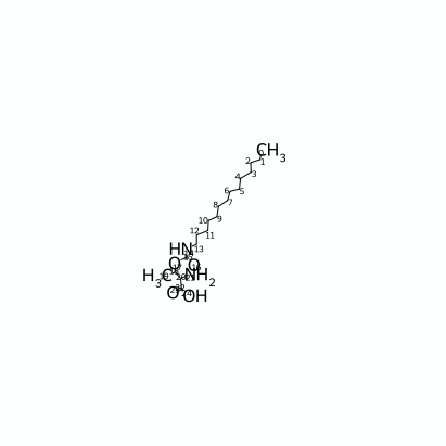 CCCCCCCCCCCCCCNC(=O)OC(C)C(N)C(=O)O